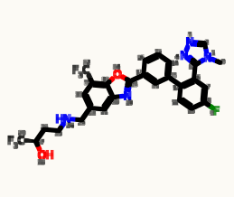 Cn1cnnc1-c1cc(F)ccc1-c1cccc(-c2nc3cc(CNCC[C@@H](O)C(F)(F)F)cc(C(F)(F)F)c3o2)c1